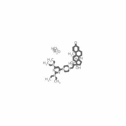 CCN(CC)c1cc(N2CCN(CC(=O)[C@@]3(O)CC[C@H]4[C@@H]5CCC6=CC(=O)C=C[C@]6(C)C5=CC[C@@]43C)CC2)nc(N(CC)CC)n1.Cl.Cl.O